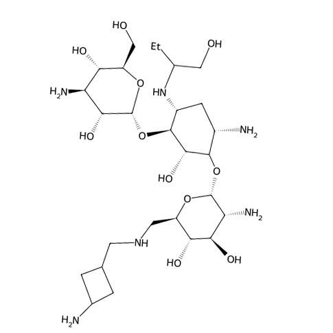 CCC(CO)N[C@@H]1C[C@H](N)C(O[C@H]2O[C@H](CNCC3CC(N)C3)[C@@H](O)[C@H](O)[C@H]2N)[C@H](O)[C@H]1O[C@H]1O[C@H](CO)[C@@H](O)[C@H](N)[C@H]1O